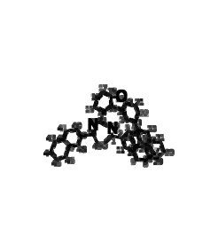 C1=C(c2ccc3ccccc3c2)N=C(c2cccc3oc4ccc(-c5ccc6ccccc6c5)cc4c23)N=C(c2ccc3ccccc3c2)C1